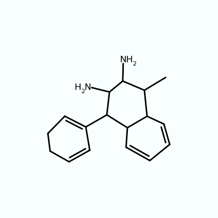 CC1C(N)C(N)C(C2=CCCC=C2)C2C=CC=CC12